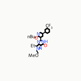 CCCCOc1ncc(-c2cccc(C(F)(F)F)c2)cc1-c1nc2c(CC)n(CCOC)nc2c(=O)[nH]1